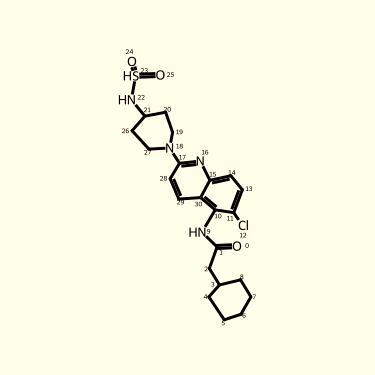 O=C(CC1CCCCC1)Nc1c(Cl)ccc2nc(N3CCC(N[SH](=O)=O)CC3)ccc12